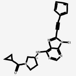 CCn1c(C#Cc2ccccc2)nc2c(N[C@H]3CCN(C(=O)C4CC4)C3)ncnc21